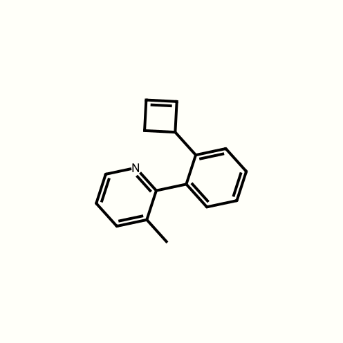 Cc1cccnc1-c1ccccc1C1C=CC1